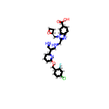 N=C/C(=C\NCc1nc2ccc(C(=O)O)cc2n1C[C@@H]1CCO1)c1cccc(OCc2ccc(Cl)cc2F)n1